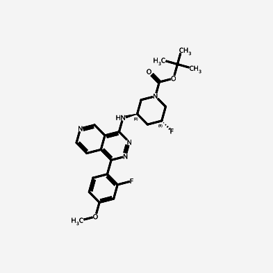 COc1ccc(-c2nnc(N[C@@H]3C[C@@H](F)CN(C(=O)OC(C)(C)C)C3)c3cnccc23)c(F)c1